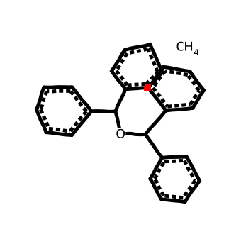 C.c1ccc(C(OC(c2ccccc2)c2ccccc2)c2ccccc2)cc1